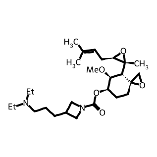 CCN(CC)CCCC1CN(C(=O)O[C@@H]2CC[C@]3(CO3)[C@@H]([C@@]3(C)O[C@@H]3CC=C(C)C)[C@@H]2OC)C1